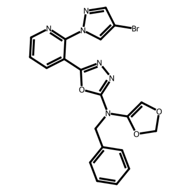 Brc1cnn(-c2ncccc2-c2nnc(N(Cc3ccccc3)C3=COCO3)o2)c1